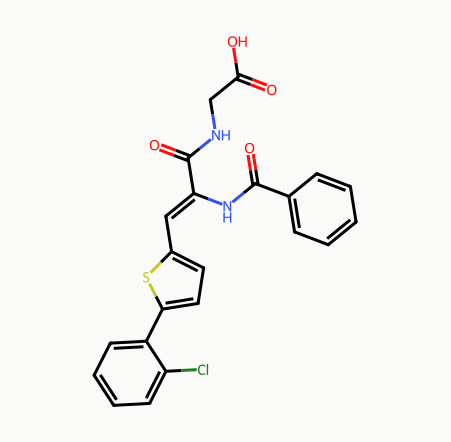 O=C(O)CNC(=O)C(=Cc1ccc(-c2ccccc2Cl)s1)NC(=O)c1ccccc1